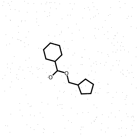 [O]C(OCC1CCCC1)C1CCCCC1